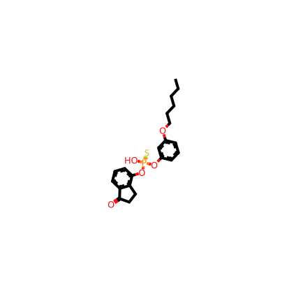 CCCCCCOc1cccc(OP(O)(=S)Oc2cccc3c2CCC3=O)c1